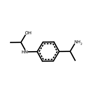 CC(O)Nc1ccc(C(C)N)cc1